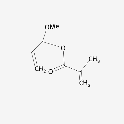 C=CC(OC)OC(=O)C(=C)C